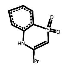 CC(C)C1=CS(=O)(=O)c2ccccc2N1